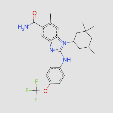 Cc1cc2c(cc1C(N)=O)nc(Nc1ccc(OC(F)(F)F)cc1)n2C1CC(C)CC(C)(C)C1